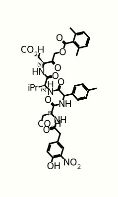 Cc1ccc(C(NC(=O)[C@H](CC(=O)O)NC(=O)Cc2ccc(O)c([N+](=O)[O-])c2)C(=O)N[C@H](C(=O)N[C@@H](CC(=O)O)C(=O)COC(=O)c2c(C)cccc2C)C(C)C)cc1